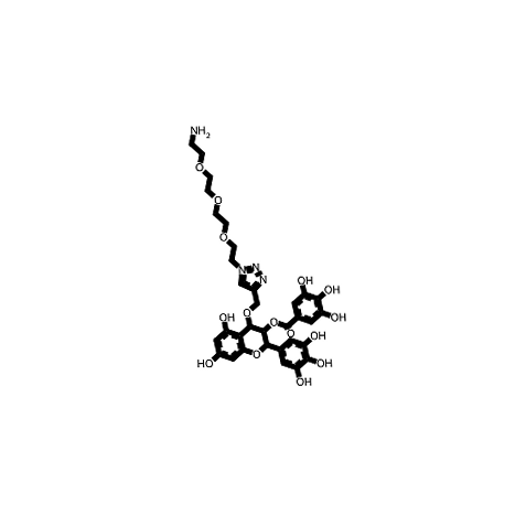 NCCOCCOCCOCCn1cc(COC2c3c(O)cc(O)cc3OC(c3cc(O)c(O)c(O)c3)C2OC(=O)c2cc(O)c(O)c(O)c2)nn1